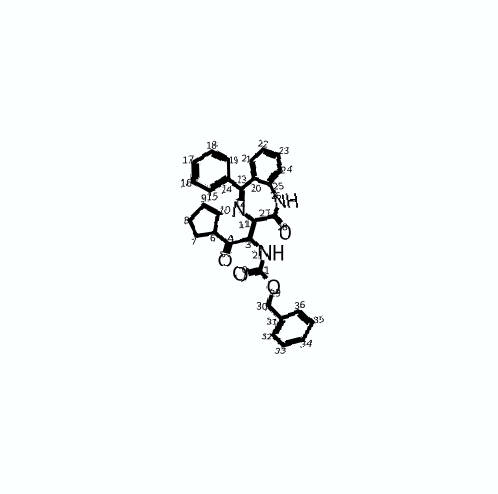 O=C(NC(C(=O)C1CCCC1)C1N=C(c2ccccc2)c2ccccc2NC1=O)OCc1ccccc1